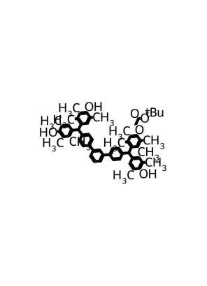 Cc1cc(C(c2ccc(-c3cccc(-c4ccc(C(c5cc(C)c(O)c(C)c5C)c5cc(C)c(OCC(=O)OC(C)(C)C)c(C)c5C)cc4)c3)cc2)c2cc(C)c(O)c(C)c2C)c(C)c(C)c1O